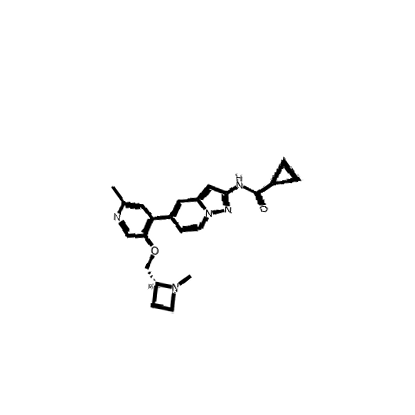 Cc1cc(-c2ccn3nc(NC(=O)C4CC4)cc3c2)c(OC[C@H]2CCN2C)cn1